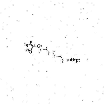 CCCCCCCCCCCCCCOc1ccco1